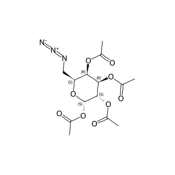 CC(=O)O[C@@H]1O[C@@H](CN=[N+]=[N-])[C@@H](OC(C)=O)[C@@H](OC(C)=O)[C@@H]1OC(C)=O